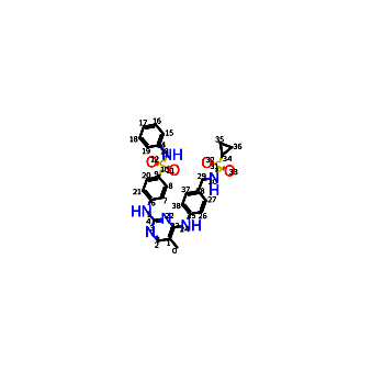 Cc1cnc(Nc2ccc(S(=O)(=O)Nc3ccccc3)cc2)nc1Nc1ccc(CNS(=O)(=O)C2CC2)cc1